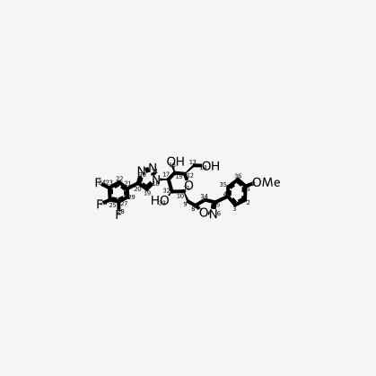 COc1ccc(C2=NOC(C[C@@H]3O[C@H](CO)[C@H](O)[C@H](n4cc(-c5cc(F)c(F)c(F)c5)nn4)[C@H]3O)C2)cc1